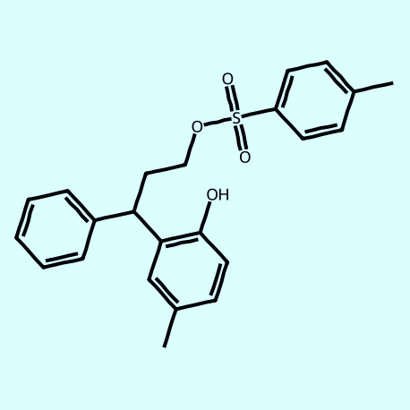 Cc1ccc(S(=O)(=O)OCCC(c2ccccc2)c2cc(C)ccc2O)cc1